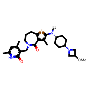 CCN(c1sc2c(c1C)C(=O)N(Cc1c(C)cc(C)[nH]c1=O)CCC2)[C@H]1CC[C@H](N2CC(OC)C2)CC1